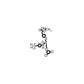 CCOC(Cc1ccc(OCCN(CCCOc2cc(Cl)cc(Cl)c2)C(=O)Nc2ccc(C(C)C)cc2)cc1)C(=O)O